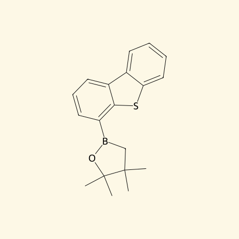 CC1(C)CB(c2cccc3c2sc2ccccc23)OC1(C)C